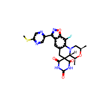 CSc1cnc(-c2noc3c(F)c4c(cc23)CC2(C(=O)NC(=O)NC2=O)[C@H]2[C@H](C)O[C@H](C)CN42)cn1